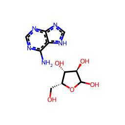 Nc1ncnc2nc[nH]c12.OC[C@H]1OC(O)[C@H](O)[C@H]1O